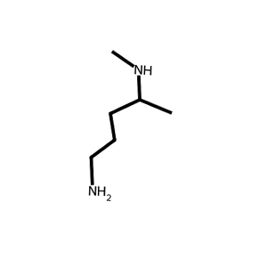 CNC(C)CCCN